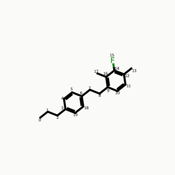 CCCc1ccc(CCc2ccc(C)c(F)c2C)cc1